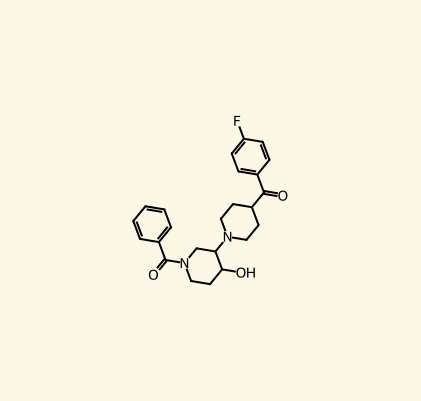 O=C(c1ccc(F)cc1)C1CCN(C2CN(C(=O)c3ccccc3)CCC2O)CC1